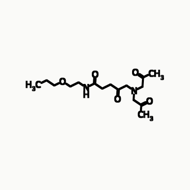 CCCOCCNC(=O)CCC(=O)CN(CC(C)=O)CC(C)=O